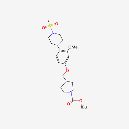 COc1cc(OCC2CCN(C(=O)OC(C)(C)C)CC2)ccc1C1CCN(S(C)(=O)=O)CC1